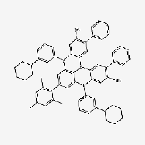 Cc1cc(C)c(-c2cc3c4c(c2)N(c2cccc(C5CCCCC5)c2)c2cc(C(C)(C)C)c(-c5ccccc5)cc2B4c2cc(-c4ccccc4)c(C(C)(C)C)cc2N3c2cccc(C3CCCCC3)c2)c(C)c1